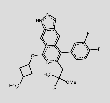 COC(C)(C)Cc1nc(OC2CC(C(=O)O)C2)c2cc3[nH]ncc3cc2c1-c1ccc(F)c(F)c1